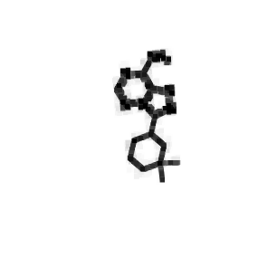 CC1(C)CCCC(c2nnc3c(N)ncnn23)C1